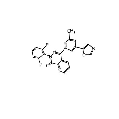 Cc1cc(-c2cnco2)cc(-c2nn(-c3c(F)cccc3F)c(=O)c3ncccc23)c1